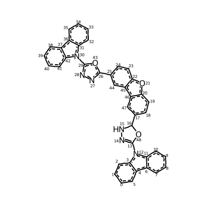 c1ccc2c(c1)c1ccccc1n2C1=NNC(c2ccc3oc4ccc(-c5nnc(-n6c7ccccc7c7ccccc76)o5)cc4c3c2)O1